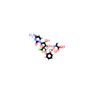 CC(/N=[P+](\[O-])Oc1ccccc1OC[C@@]1(C(F)F)O[C@@H](n2ccc(N)nc2=O)[C@H](O)[C@@H]1O)C(=O)O